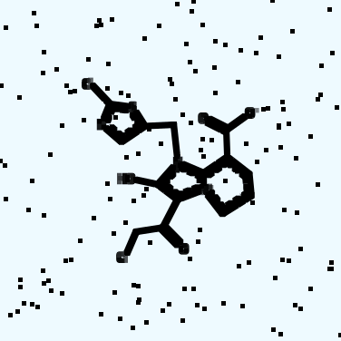 O=C([O-])c1ccc[n+]2c(C(=O)CCl)c(O)n(Cc3cnc(Cl)s3)c12